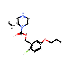 CCCOc1ccc(F)c(COC(=O)N2CCNC[C@H]2CC)c1